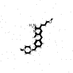 COCCCc1cc(Cc2ccc(CN3CCN(C)CC3)cc2)c(C)nc1N